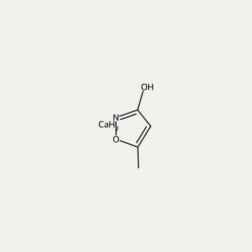 Cc1cc(O)no1.[CaH2]